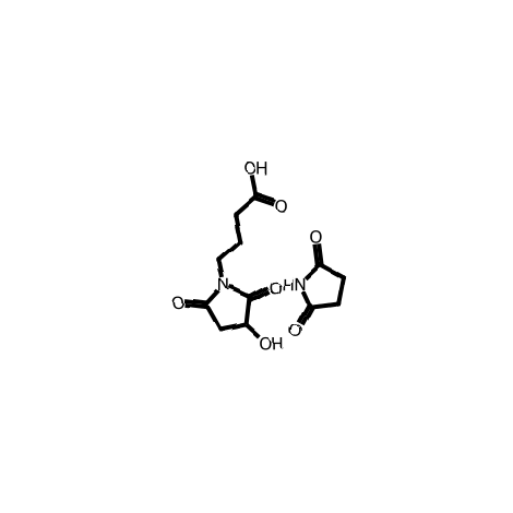 O=C(O)CCCN1C(=O)CC(O)C1=O.O=C1CCC(=O)N1